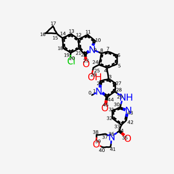 Cn1cc(-c2cccc(-n3ccc4cc(C5CC5)cc(Cl)c4c3=O)c2CO)cc(Nc2ccc(C(=O)N3CCOCC3)cn2)c1=O